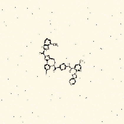 Cc1cnc(N2CC3(CCOCC3)C2)c(C(=O)Nc2ccc(C(=O)N3CCc4cc(C(=O)c5nc6c(C)cccc6[nH]5)sc4-c4ccc(F)cc43)cc2)c1